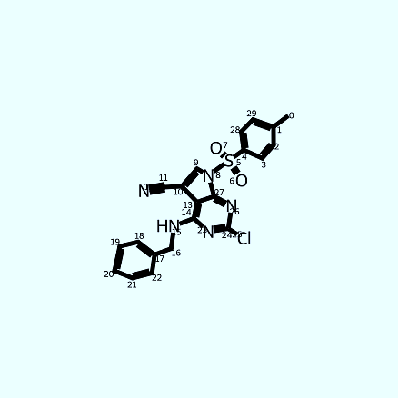 Cc1ccc(S(=O)(=O)n2cc(C#N)c3c(NCc4ccccc4)nc(Cl)nc32)cc1